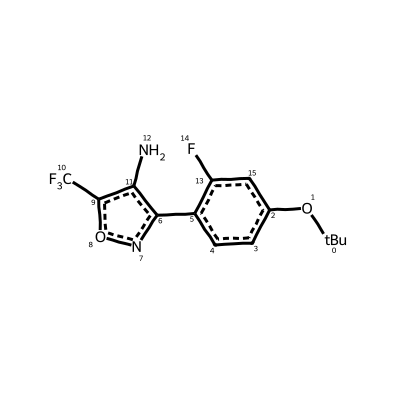 CC(C)(C)Oc1ccc(-c2noc(C(F)(F)F)c2N)c(F)c1